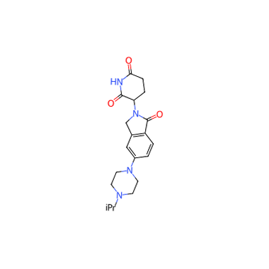 CC(C)N1CCN(c2ccc3c(c2)CN(C2CCC(=O)NC2=O)C3=O)CC1